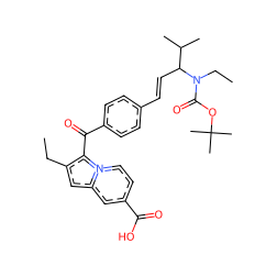 CCc1cc2cc(C(=O)O)ccn2c1C(=O)c1ccc(/C=C/C(C(C)C)N(CC)C(=O)OC(C)(C)C)cc1